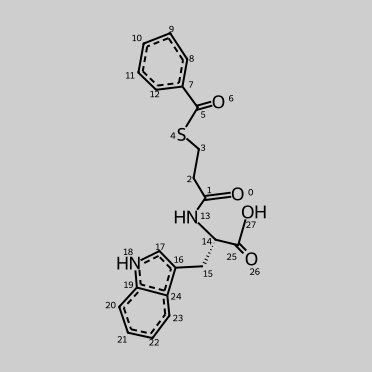 O=C(CCSC(=O)c1ccccc1)N[C@@H](Cc1c[nH]c2ccccc12)C(=O)O